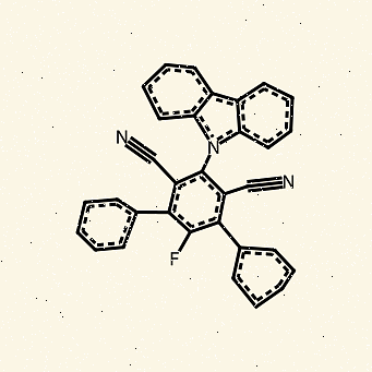 N#Cc1c(-c2ccccc2)c(F)c(-c2ccccc2)c(C#N)c1-n1c2ccccc2c2ccccc21